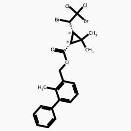 Cc1c(COC(=O)[C@@H]2[C@H](C(Br)C(Cl)(Cl)Br)C2(C)C)cccc1-c1ccccc1